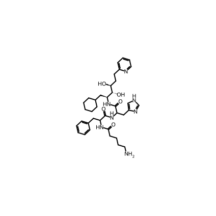 NCCCCC(=O)NC(Cc1ccccc1)C(=O)NC(Cc1c[nH]cn1)C(=O)N[C@@H](CC1CCCCC1)[C@@H](O)[C@@H](O)CCc1ccccn1